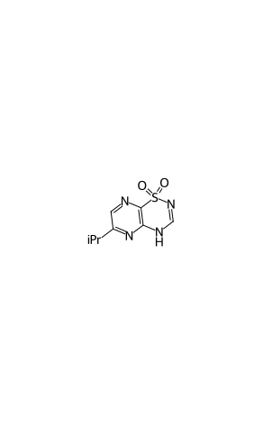 CC(C)c1cnc2c(n1)NC=NS2(=O)=O